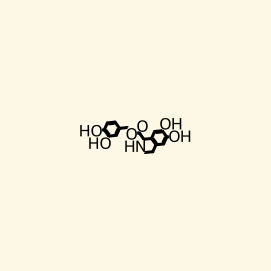 O=C(OCc1ccc(O)c(O)c1)C1NCCc2cc(O)c(O)cc21